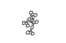 c1ccc2c(c1)c1ccccc1n2-c1ccc(-n2c3ccccc3c3nc4c(-n5c6ccccc6c6ccccc65)ccc(-n5c6ccccc6c6ccccc65)c4nc32)cc1